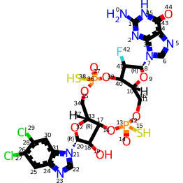 Nc1nc2c(ncn2[C@@H]2O[C@@H]3COP(=O)(S)OC4C(O)[C@H](n5cnc6cc(Cl)c(Cl)cc65)O[C@@H]4COP(=O)(S)OC3C2F)c(=O)[nH]1